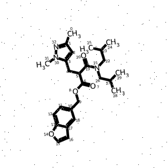 Cc1cc(CC(C(=O)OCc2ccc3occc3c2)C(=O)N(CC(C)C)CC(C)C)n(C)n1